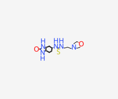 O=c1[nH]c2ccc(NC(=S)NCCCN3CCOCC3)cc2[nH]1